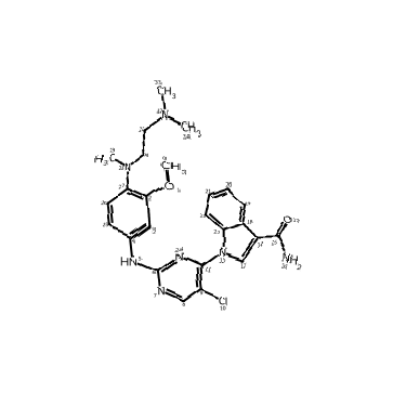 COc1cc(Nc2ncc(Cl)c(-n3cc(C(N)=O)c4ccccc43)n2)ccc1N(C)CCN(C)C